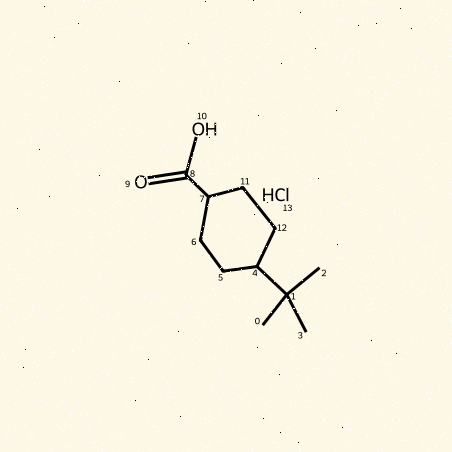 CC(C)(C)C1CCC(C(=O)O)CC1.Cl